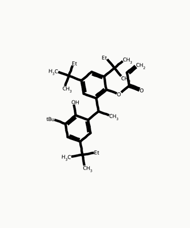 C=CC(=O)Oc1c(C(C)c2cc(C(C)(C)CC)cc(C(C)(C)C)c2O)cc(C(C)(C)CC)cc1C(C)(C)CC